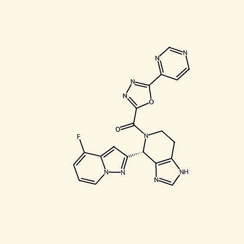 O=C(c1nnc(-c2ccncn2)o1)N1CCc2[nH]cnc2[C@@H]1c1cc2c(F)cccn2n1